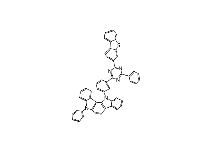 c1ccc(-c2nc(-c3cccc(-n4c5ccccc5c5ccc6c(c7ccccc7n6-c6ccccc6)c54)c3)nc(-c3ccc4c(c3)sc3ccccc34)n2)cc1